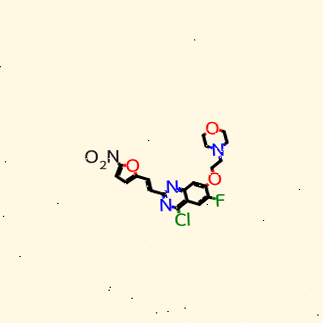 O=[N+]([O-])c1ccc(C=Cc2nc(Cl)c3cc(F)c(OCCN4CCOCC4)cc3n2)o1